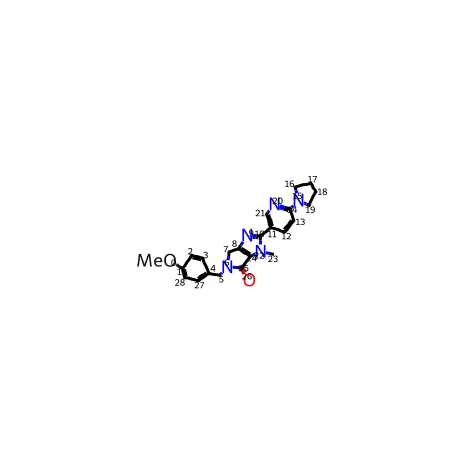 COc1ccc(CN2Cc3nc(-c4ccc(N5CCCC5)nc4)n(C)c3C2=O)cc1